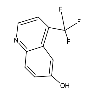 Oc1ccc2nccc(C(F)(F)F)c2c1